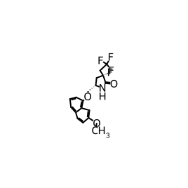 COc1ccc2cccc(OC[C@@H]3C[C@@](F)(CC(F)(F)F)C(=O)N3)c2c1